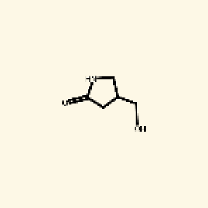 O=C1CC(CO)CN1